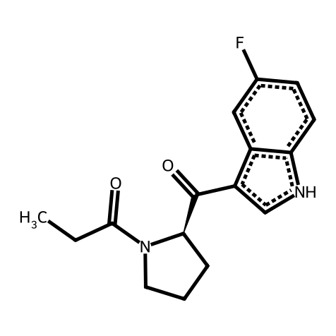 CCC(=O)N1CCC[C@@H]1C(=O)c1c[nH]c2ccc(F)cc12